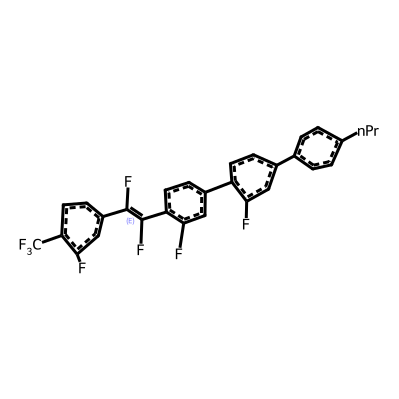 CCCc1ccc(-c2ccc(-c3ccc(/C(F)=C(\F)c4ccc(C(F)(F)F)c(F)c4)c(F)c3)c(F)c2)cc1